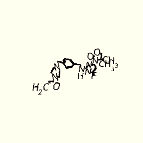 C=CC(=O)N1CCN(Cc2ccc(CNc3nc(F)cc(N4C(=O)OCC4(C)C)n3)cc2)CC1